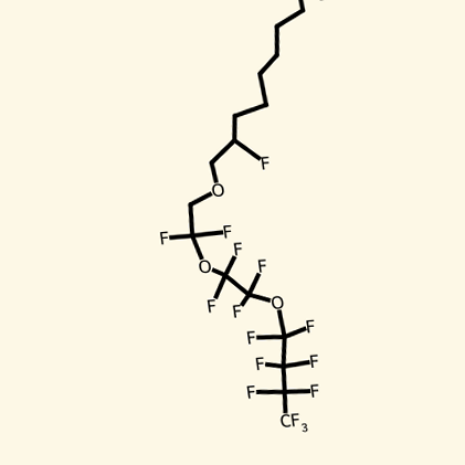 O=S(=O)(O)CCCCCCC(F)COCC(F)(F)OC(F)(F)C(F)(F)OC(F)(F)C(F)(F)C(F)(F)C(F)(F)F